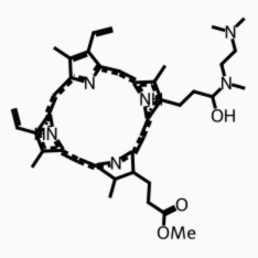 C=CC1=C(C)c2cc3[nH]c(cc4nc(cc5[nH]c(cc1n2)c(C)c5CCC(O)N(C)CCN(C)C)C(CCC(=O)OC)C4C)c(C)c3C=C